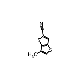 Cc1csc2cc(C#N)sc12